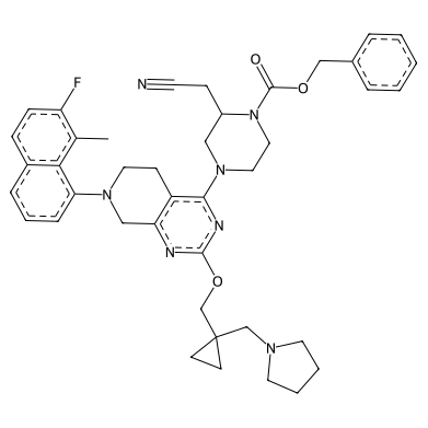 Cc1c(F)ccc2cccc(N3CCc4c(nc(OCC5(CN6CCCC6)CC5)nc4N4CCN(C(=O)OCc5ccccc5)C(CC#N)C4)C3)c12